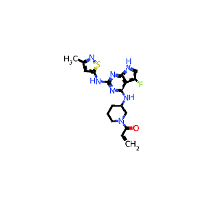 C=CC(=O)N1CCCC(Nc2nc(Nc3cc(C)ns3)nc3[nH]cc(F)c23)C1